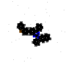 c1ccc(-c2nc(-n3c4ccccc4c4cc5ccccc5cc43)nc3cc(-c4ccc5sc6ccccc6c5c4)ccc23)cc1